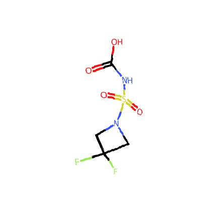 O=C(O)NS(=O)(=O)N1CC(F)(F)C1